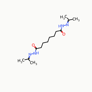 CC(C)=NNC(=O)CCCCCCC(=O)NN=C(C)C